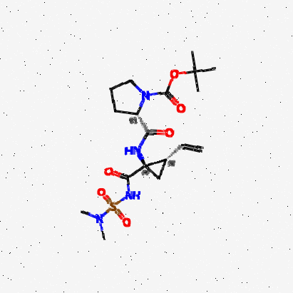 C=C[C@@H]1C[C@]1(NC(=O)[C@@H]1CCCN1C(=O)OC(C)(C)C)C(=O)NS(=O)(=O)N(C)C